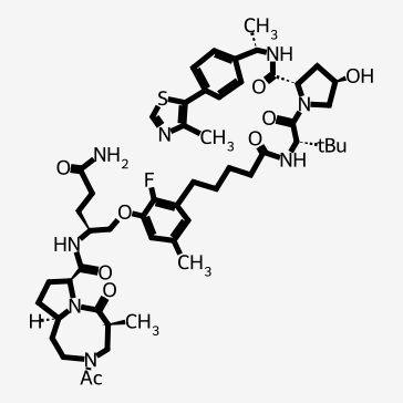 CC(=O)N1CC[C@H]2CC[C@@H](C(=O)N[C@@H](CCC(N)=O)COc3cc(C)cc(CCCCC(=O)N[C@H](C(=O)N4C[C@H](O)C[C@H]4C(=O)N[C@@H](C)c4ccc(-c5scnc5C)cc4)C(C)(C)C)c3F)N2C(=O)[C@@H](C)C1